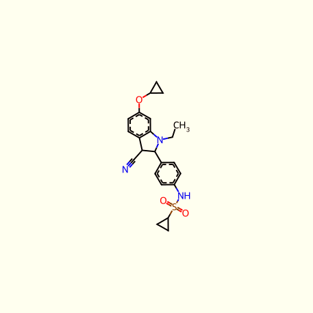 CCN1c2cc(OC3CC3)ccc2C(C#N)C1c1ccc(NS(=O)(=O)C2CC2)cc1